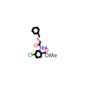 COC(=O)c1ccc(Cl)cc1NC(=O)CSCc1ccccc1